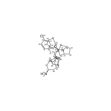 N[C@H]1CC[C@@H](N[C@H](Cc2ccc(Cl)cc2)C(=O)N2C3CCC2CC(Cn2cncn2)(C2CCCCC2)C3)CC1